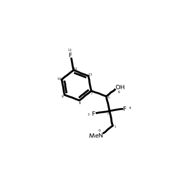 CNCC(F)(F)C(O)c1cccc(F)c1